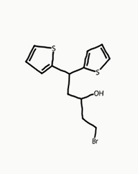 OC(CCBr)CC(c1cccs1)c1cccs1